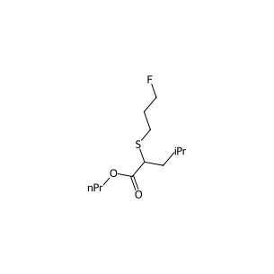 CCCOC(=O)C(CC(C)C)SCCCF